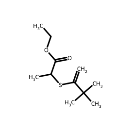 C=C(SC(C)C(=O)OCC)C(C)(C)C